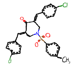 Cc1ccc(S(=O)(=O)N2CC(=Cc3ccc(Cl)cc3)C(=O)C(=Cc3ccc(Cl)cc3)C2)cc1